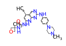 C#Cc1cc(NC(=O)NC2(C)COC2)nc2nc(Nc3ccc(N4CCN(C)CC4)cc3)ncc12